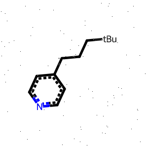 CC(C)(C)CC[CH]c1ccncc1